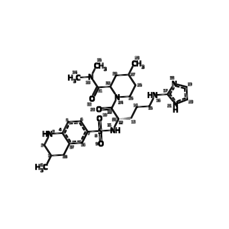 CC1CNc2ccc(S(=O)(=O)N[C@@H](CCCNc3ncc[nH]3)C(=O)N3CCC(C)CC3C(=O)N(C)C)cc2C1